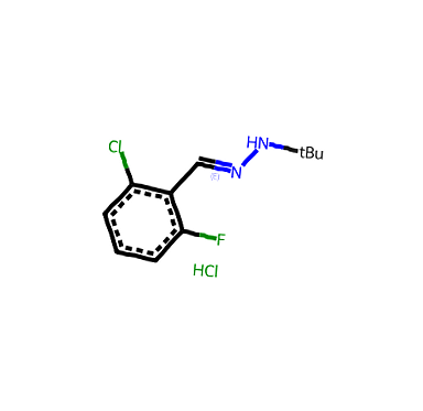 CC(C)(C)N/N=C/c1c(F)cccc1Cl.Cl